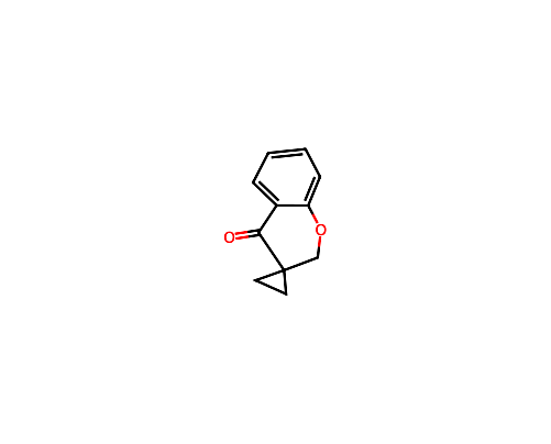 O=C1c2ccccc2OCC12CC2